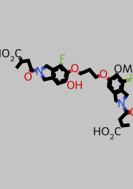 COc1c(OCCCOc2c(O)cc3c(c2F)CN(C(=O)CC(C)C(=O)O)C3)cc2c(c1F)CN(C(=O)CC(C)C(=O)O)C2